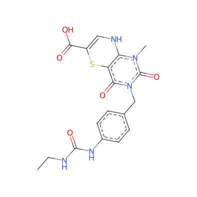 CCNC(=O)Nc1ccc(Cn2c(=O)c3c(n(C)c2=O)NC=C(C(=O)O)S3)cc1